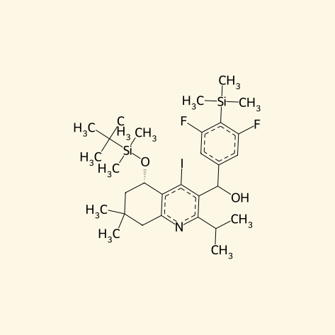 CC(C)c1nc2c(c(I)c1C(O)c1cc(F)c([Si](C)(C)C)c(F)c1)[C@@H](O[Si](C)(C)C(C)(C)C)CC(C)(C)C2